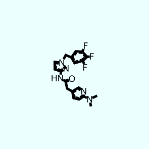 CN(C)c1ccc(CC(=O)Nc2ccn(Cc3cc(F)c(F)c(F)c3)n2)cn1